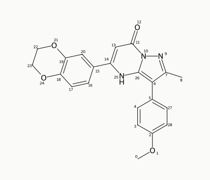 COc1ccc(-c2c(C)nn3c(=O)cc(-c4ccc5c(c4)OCCO5)[nH]c23)cc1